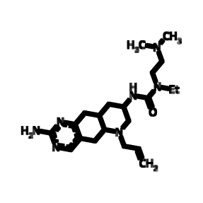 C=CCN1CC(NC(=O)N(CC)CCN(C)C)CC2Cc3nc(N)ncc3CC21